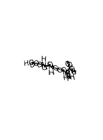 CC(C[C@H](Cc1ccc(O[Si](C)(C)C(C)(C)C)c(NC(=O)CCOCCOCCNC(=O)C#CC(=O)NCCOCCOCCC(=O)O)c1)NC(=O)OC(C)(C)C)C(=O)OC(C)(C)C